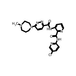 CN1CCCN(c2ccc(C(=O)Nc3cccnc3C(=O)Nc3ccc(Cl)cn3)nn2)CC1